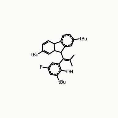 CC(C)=C(c1cc(F)cc(C(C)(C)C)c1O)C1c2cc(C(C)(C)C)ccc2C2C=CC(C(C)(C)C)=CC21